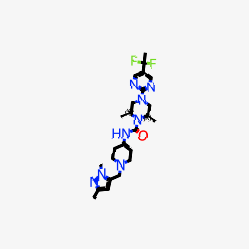 Cc1cc(CN2CCC(NC(=O)N3[C@H](C)CN(c4ncc(C(C)(F)F)cn4)C[C@@H]3C)CC2)n(C)n1